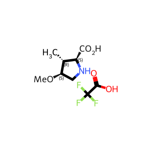 CO[C@@H]1CN[C@H](C(=O)O)[C@H]1C.O=C(O)C(F)(F)F